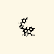 Cc1ccc(-c2c(C)c(-c3nnc(NC4CCC(C)CC4)o3)cc(=O)n2C(CC(C)(C)C)C(=O)O)cc1